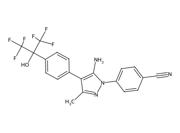 Cc1nn(-c2ccc(C#N)cc2)c(N)c1-c1ccc(C(O)(C(F)(F)F)C(F)(F)F)cc1